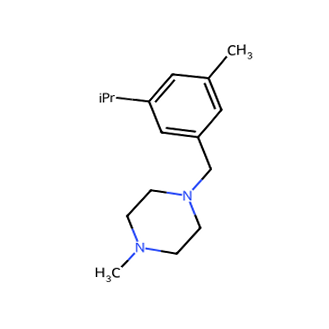 Cc1cc(CN2CCN(C)CC2)cc(C(C)C)c1